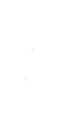 [CH2]CC1CC1CCCCCCCCCCCCC.[CH2]CCCCCCCCCCCCCCCCC